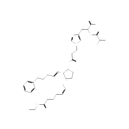 CCNC(=O)CCC/C=C\C[C@H]1CC[C@@H](OC(=O)CCn2cnc(CC(NC(=O)C(C)N)C(=O)O)c2)[C@@H]1/C=C/CCCc1ccccc1